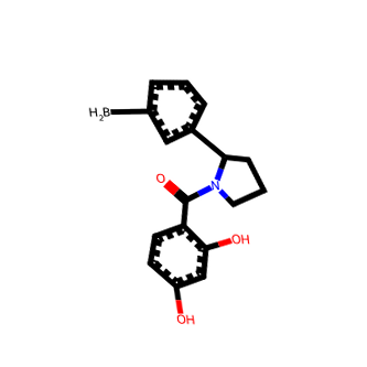 Bc1cccc(C2CCCN2C(=O)c2ccc(O)cc2O)c1